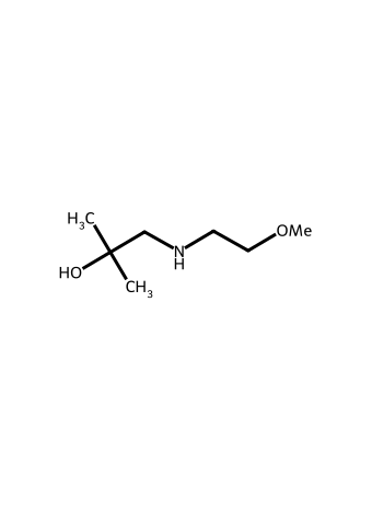 COCCNCC(C)(C)O